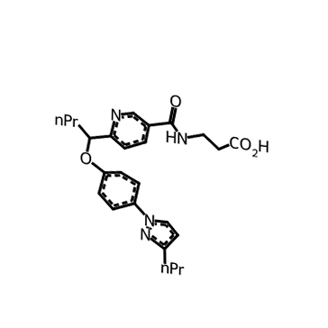 CCCc1ccn(-c2ccc(OC(CCC)c3ccc(C(=O)NCCC(=O)O)cn3)cc2)n1